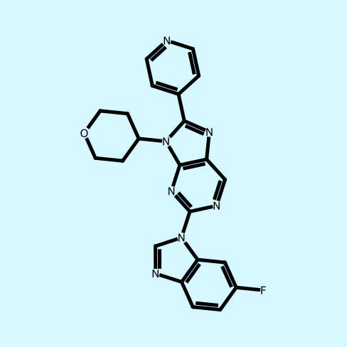 Fc1ccc2ncn(-c3ncc4nc(-c5ccncc5)n(C5CCOCC5)c4n3)c2c1